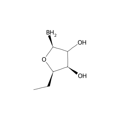 B[C@@H]1O[C@H](CC)[C@H](O)C1O